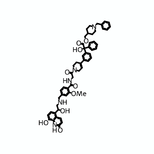 COc1cc(CNCC(O)c2ccc(O)c3[nH]c(=O)ccc23)ccc1C(=O)NCC(=O)N1CC=C(c2cccc(C(O)(C(=O)OCC3CCN(Cc4ccccc4)CC3)c3ccccc3)c2)CC1